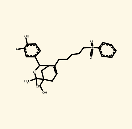 CC1(C)OC(c2ccc(O)c(F)c2)C2CC1(CO)CC=C2CCCCCS(=O)(=O)c1ccccc1